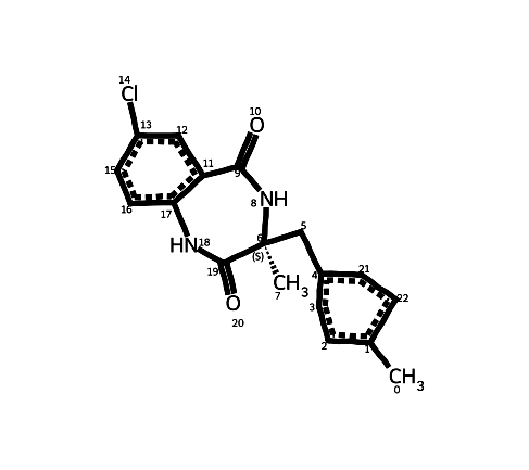 Cc1ccc(C[C@]2(C)NC(=O)c3cc(Cl)ccc3NC2=O)cc1